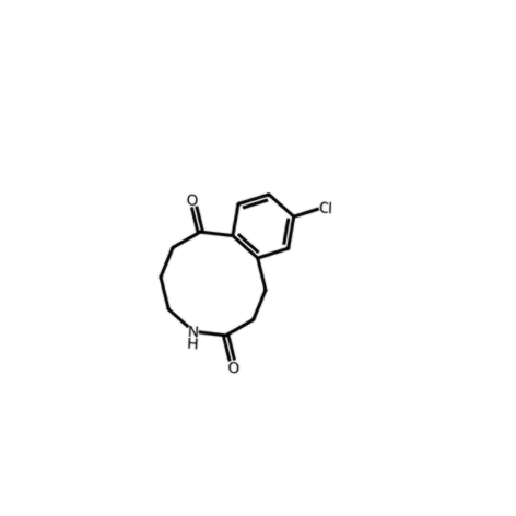 O=C1CCc2cc(Cl)ccc2C(=O)CCCN1